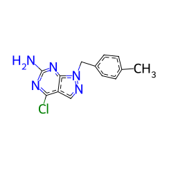 Cc1ccc(Cn2ncc3c(Cl)nc(N)nc32)cc1